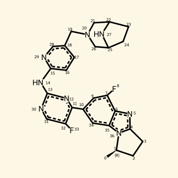 C[C@@H]1CCc2nc3c(F)cc(-c4nc(Nc5ccc(CN6CC7CCC(C6)N7)cn5)ncc4F)cc3n21